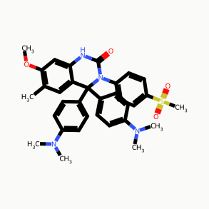 COc1cc2c(cc1C)C(c1ccc(N(C)C)cc1)(c1ccc(N(C)C)cc1)N(c1ccc(S(C)(=O)=O)cc1)C(=O)N2